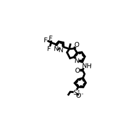 CC[S+]([O-])c1ccc(CC(=O)Nc2ccc3c(n2)CCC(C)(c2ccc(C(F)(F)F)nn2)C3=O)cc1